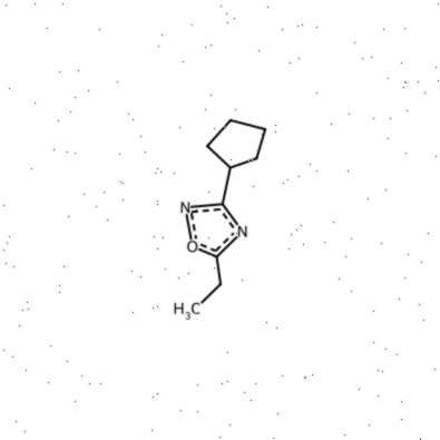 CCc1nc(C2CCCC2)no1